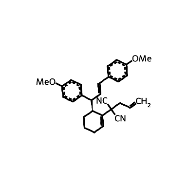 C=CCC(C#N)(C#N)C1=CCCC[C@H]1C(/C=C/c1ccc(OC)cc1)c1ccc(OC)cc1